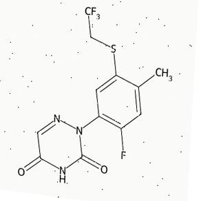 Cc1cc(F)c(-n2ncc(=O)[nH]c2=O)cc1SCC(F)(F)F